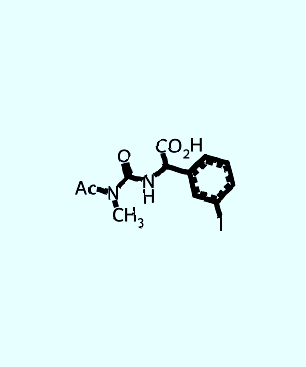 CC(=O)N(C)C(=O)NC(C(=O)O)c1cccc(I)c1